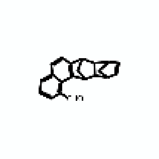 O=Cc1cccc2ccc3c(c12)C1CC3C2C3C=CC(C3)C12